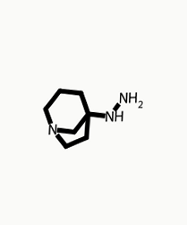 NNC12CCCN(CC1)C2